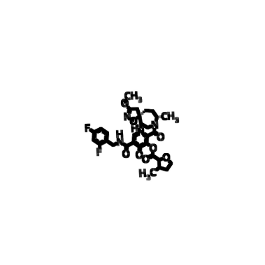 COC1=NO[C@@]2(CC[C@H](C)N3C[C@H]2n2cc(C(=O)NCc4ccc(F)cc4F)c(=O)c(OC(=O)C4OCCC4C)c2C3=O)C1